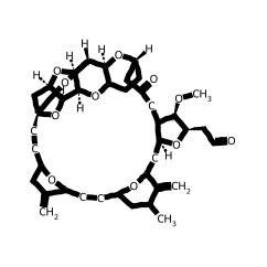 C=C1CC2CC[C@@]34C[C@H]5O[C@@H]6[C@@H](OC7CC[C@H](CC(=O)CC8[C@H](CC9OC(CCC1O2)CC(C)C9=C)O[C@H](CC=O)[C@@H]8OC)O[C@@H]7[C@@H]6O3)[C@H]5O4